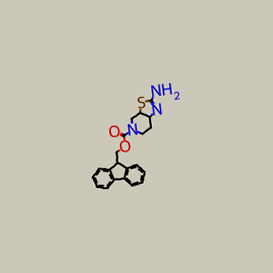 NC1=NC2CCN(C(=O)OCC3c4ccccc4-c4ccccc43)CC2S1